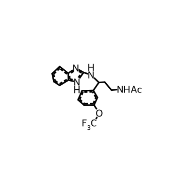 CC(=O)NCCC(Nc1nc2ccccc2[nH]1)c1cccc(OC(F)(F)F)c1